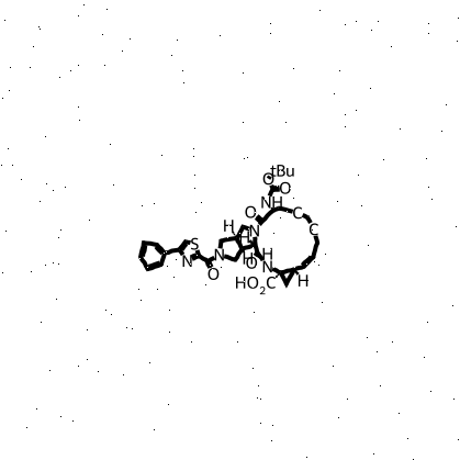 CC(C)(C)OC(=O)N[C@@H]1CCCCC/C=C\[C@@H]2C[C@@]2(C(=O)O)NC(=O)[C@@H]2[C@H]3CN(C(=O)c4nc(-c5ccccc5)cs4)C[C@H]3CN2C1=O